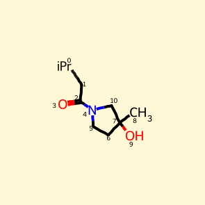 CC(C)CC(=O)N1CCC(C)(O)C1